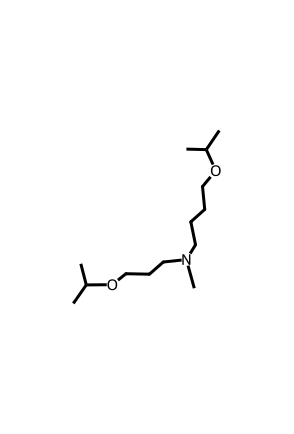 CC(C)OCCCCN(C)CCCOC(C)C